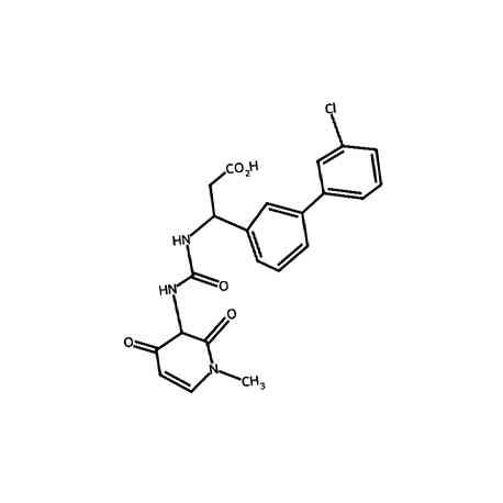 CN1C=CC(=O)C(NC(=O)NC(CC(=O)O)c2cccc(-c3cccc(Cl)c3)c2)C1=O